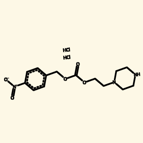 Cl.Cl.O=C(OCCN1CCNCC1)OCc1ccc([N+](=O)[O-])cc1